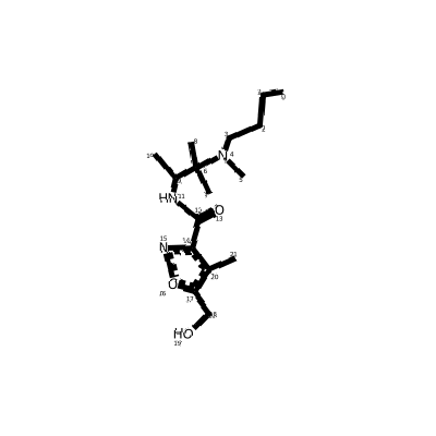 CCCCN(C)C(C)(C)C(C)NC(=O)c1noc(CO)c1C